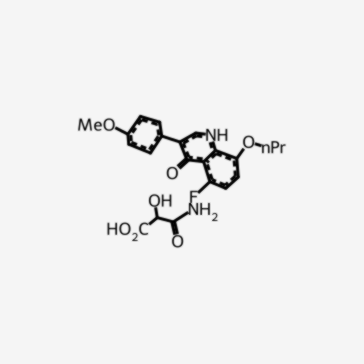 CCCOc1ccc(F)c2c(=O)c(-c3ccc(OC)cc3)c[nH]c12.NC(=O)C(O)C(=O)O